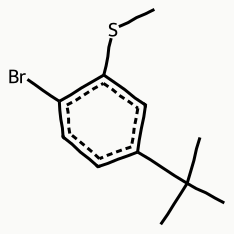 CSc1cc(C(C)(C)C)ccc1Br